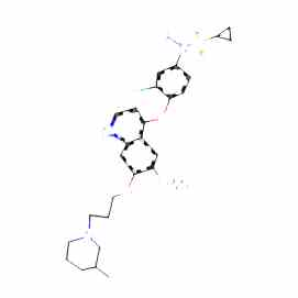 COc1cc2c(Oc3ccc(N(I)S(=O)(=O)C4CC4)cc3F)ccnc2cc1OCCCN1CCCC(C)C1